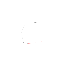 [CH]1CCCOOS1